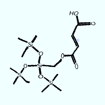 C[Si](C)(C)O[Si](COC(=O)/C=C/C(=O)O)(O[Si](C)(C)C)O[Si](C)(C)C